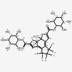 CC12SC(C(=O)O[C@@H]3[C@H](O)[C@@H](O)[C@H](O)[C@@H](O)[C@@H]3O)=CC1=C1C(=C3C=C(C(=O)O[C@@H]4[C@H](O)[C@@H](O)[C@H](O)[C@@H](O)[C@@H]4O)SC32C)C(F)(F)C(F)(F)C1(F)F